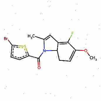 COC1=CCC2C(=C1F)[C]=C(C)N2C(=O)c1ccc(Br)s1